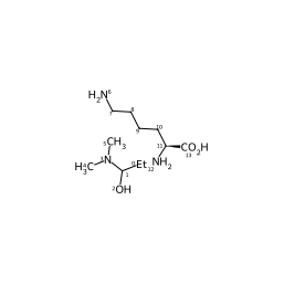 CCC(O)N(C)C.NCCCC[C@H](N)C(=O)O